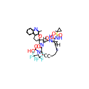 Cc1nc2ccccc2c2c1O[C@]1(CC2)C[C@H]2C(=O)N[C@]3(C(=O)NS(=O)(=O)C4(C)CC4)C[C@H]3/C=C\CCCCC[C@H](N(C(=O)O)C(C(F)(F)F)C(F)(F)F)C(=O)N2C1